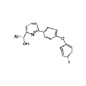 CC(=O)[C@@H](O)c1cccc(-c2ccc(Oc3ccc(F)cc3)cc2)n1